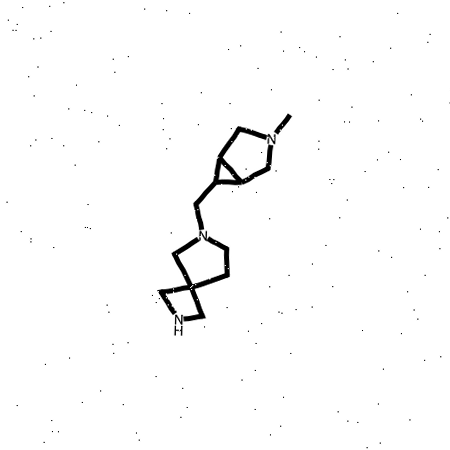 CN1CC2C(C1)C2CN1CCC2(CNC2)C1